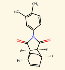 Cc1ccc(N2C(=O)[C@@H]3[C@H](C2=O)[C@@H]2C=C[C@H]3CC2)cc1C#N